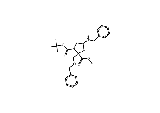 COC(=O)C1(COCc2ccccc2)C[C@H](NCc2ccccc2)CN1C(=O)OC(C)(C)C